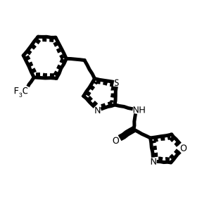 O=C(Nc1ncc(Cc2cccc(C(F)(F)F)c2)s1)c1cocn1